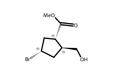 COC(=O)[C@H]1C[C@@H](Br)C[C@@H]1CO